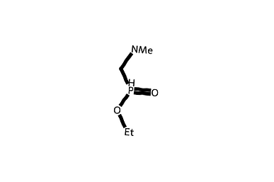 CCO[PH](=O)CNC